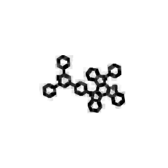 c1ccc(-c2cc(-c3ccc(-n4c5ccccc5c5c6c7ccccc7oc6c6c(c7ccccc7n6-c6ccccc6)c54)cc3)cc(-c3ccccc3)n2)cc1